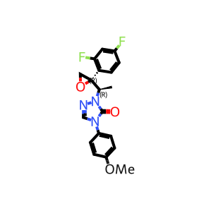 COc1ccc(-n2cnn([C@H](C)[C@]3(c4ccc(F)cc4F)CO3)c2=O)cc1